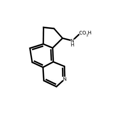 O=C(O)NC1CCc2ccc3ccncc3c21